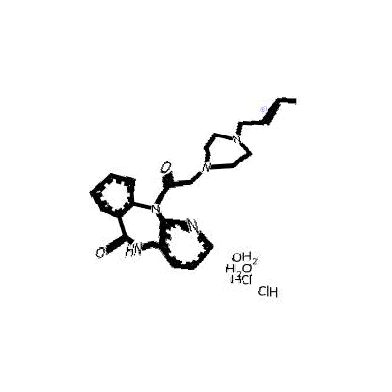 C/C=C/CN1CCN(CC(=O)N2c3ccccc3C(=O)Nc3cccnc32)CC1.Cl.Cl.O.O